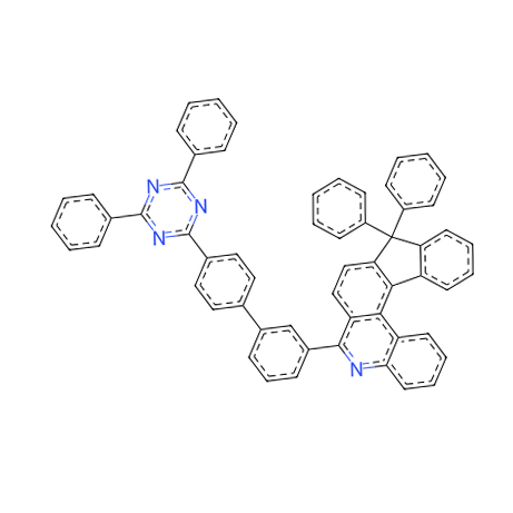 c1ccc(-c2nc(-c3ccccc3)nc(-c3ccc(-c4cccc(-c5nc6ccccc6c6c7c(ccc56)C(c5ccccc5)(c5ccccc5)c5ccccc5-7)c4)cc3)n2)cc1